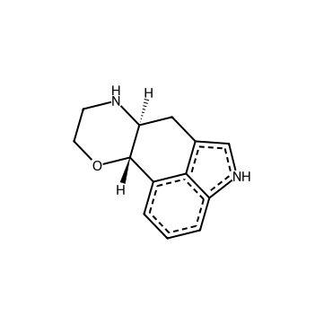 c1cc2c3c(c[nH]c3c1)C[C@@H]1NCCO[C@@H]21